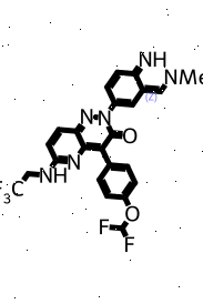 CN/C=C1/C=C(n2nc3ccc(NCC(F)(F)F)nc3c(-c3ccc(OC(F)F)cc3)c2=O)C=CC1=N